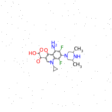 CC1CN(c2c(F)c(N)c3c(=O)c(C(=O)C(=O)O)cn(C4CC4)c3c2F)CC(C)N1